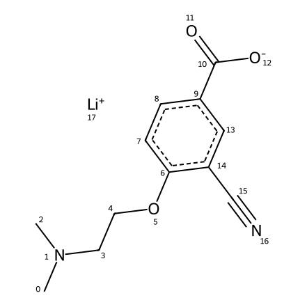 CN(C)CCOc1ccc(C(=O)[O-])cc1C#N.[Li+]